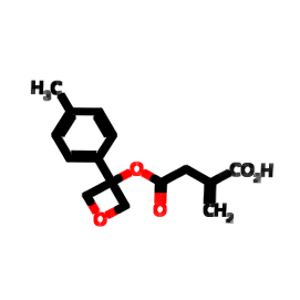 C=C(CC(=O)OC1(c2ccc(C)cc2)COC1)C(=O)O